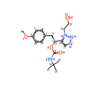 COc1ccc(C[C@H](OC(=O)NC(C)(C)C)c2cnnn2CCO)cc1